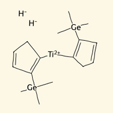 [CH3][Ge]([CH3])([CH3])[C]1=[C]([Ti+2][C]2=[C]([Ge]([CH3])([CH3])[CH3])C=CC2)CC=C1.[H-].[H-]